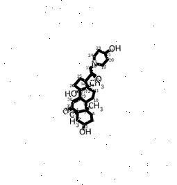 CC12CC(O)CCC1(C)C1CCC3(C)C(C(=O)CN4CCC(O)CC4)CC[C@@]3(O)C1=CC2=O